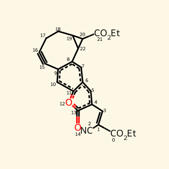 CCOC(=O)C(C#N)=Cc1cc2cc3c(cc2oc1=O)C#CCCC1C(C(=O)OCC)C31